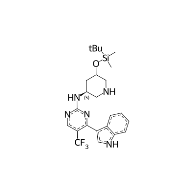 CC(C)(C)[Si](C)(C)OC1CNC[C@@H](Nc2ncc(C(F)(F)F)c(-c3c[nH]c4ccccc34)n2)C1